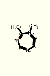 CC1=NC=NC=C=[N+]1C